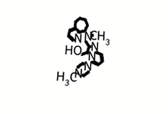 CN1CCN(C2=CC=CC3=NC(CN(C)C4CCCCc5cccnc54)C(CO)N23)CC1